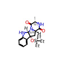 CC[Si](CC)(CC)O[C@@]12C[C@H]3C(=O)N[C@@H](C)C(=O)N3[C@@H]1Nc1ccccc12